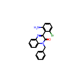 Nc1cccc(Br)c1-c1nc2ccccc2n(Cc2ccccc2)c1=O